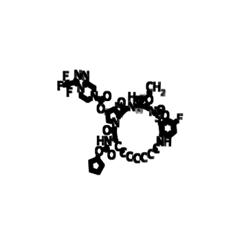 C=C[C@@H]1C[C@@]12NC(=O)[C@@H]1C[C@@H](OC(=O)N3CCn4c(nnc4C(F)(F)F)C3)CN1C(=O)[C@@H](NC(=O)OC1CCCC1)CCCCCCCNc1ccc(F)cc1S(=O)(=O)NC2=O